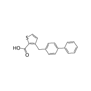 O=C(O)c1sccc1Cc1ccc(-c2ccccc2)cc1